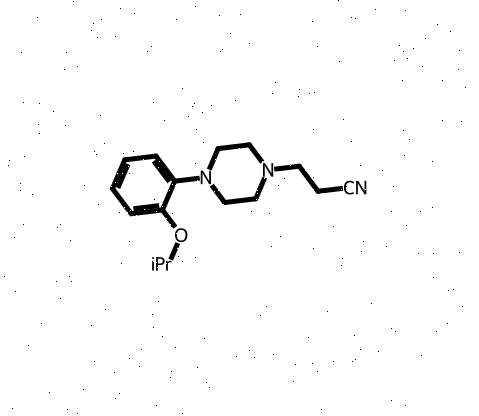 CC(C)Oc1ccccc1N1CCN(CCC#N)CC1